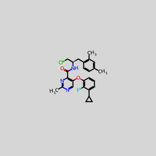 Cc1ccc(C[C@H](CCl)NC(=O)c2nc(C)ncc2Oc2cccc(C3CC3)c2F)c(C)c1